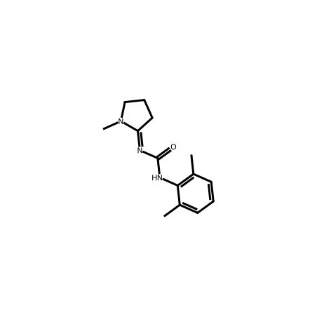 Cc1cccc(C)c1NC(=O)/N=C1\CCCN1C